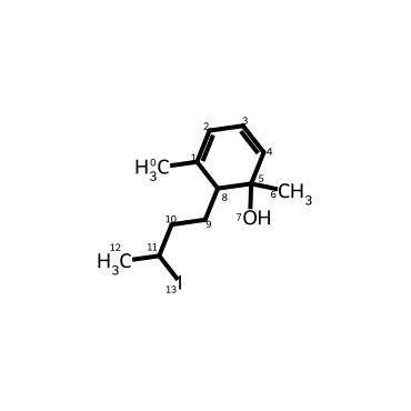 CC1=CC=CC(C)(O)C1CCC(C)I